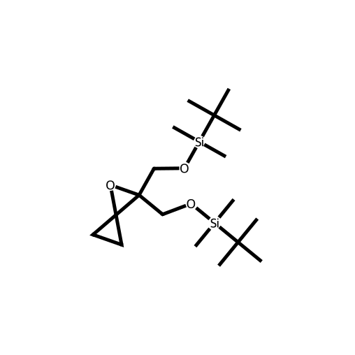 CC(C)(C)[Si](C)(C)OCC1(CO[Si](C)(C)C(C)(C)C)OC12CC2